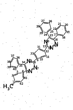 Cc1ccc(-c2nnc(-c3ccc(-c4nnc(-c5ccccc5)c(-c5ccccc5)n4)cc3)nc2-c2ccccc2)cc1